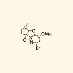 COc1cc(Br)nc(C2(O)CCN(C)C2=O)c1